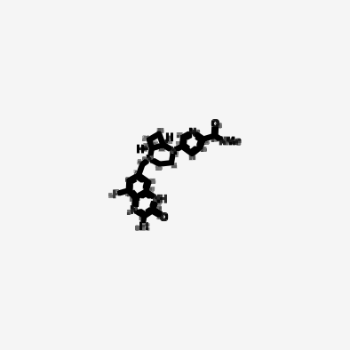 CCc1nc2c(F)cc(CN3CCN(c4ccc(C(=O)NC)nc4)[C@@H]4CC[C@@H]43)cc2[nH]c1=O